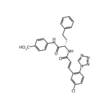 O=C(C=Cc1cc(Cl)ccc1-n1cnnn1)N[C@@H](CCc1ccccc1)C(=O)Nc1ccc(C(=O)O)cc1